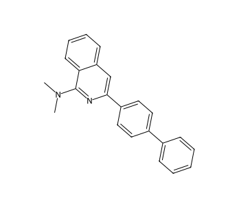 CN(C)c1nc(-c2ccc(-c3ccccc3)cc2)cc2ccccc12